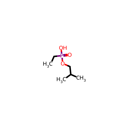 CCP(=O)(O)OCC(C)C